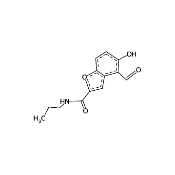 CCCNC(=O)c1cc2c(C=O)c(O)ccc2o1